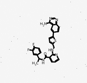 CC(NC(=O)c1cccnc1NCc1ccc(-c2ccc3ncnc(N)c3c2)s1)c1ccc(F)c(F)c1